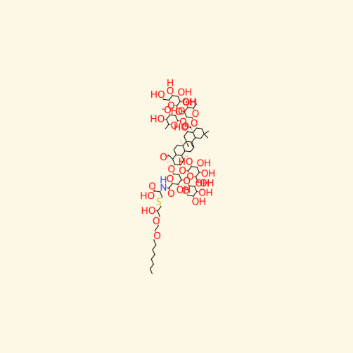 CCCCCCCCOCCOCC(O)CSCC(NC(=O)C1OC(O[C@H]2CC[C@@]3(C)C(CC[C@]4(C)C3CC=C3C5CC(C)(C)CC[C@]5(C(=O)OC5OC(C)C(O)C(O)C5OC5OC(C)C(O)C(OC)C5OC5OC(CO)C(O)C(O)C5O)[C@H](O)C[C@]34C)[C@]2(C)C=O)C(OC2OC(CO)C(O)C(O)C2O)C(OC2OCC(O)C(O)C2O)C1O)C(=O)O